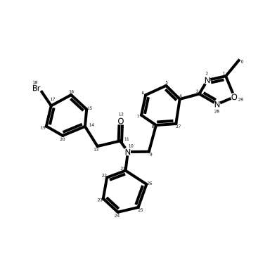 Cc1nc(-c2cccc(CN(C(=O)Cc3ccc(Br)cc3)c3ccccc3)c2)no1